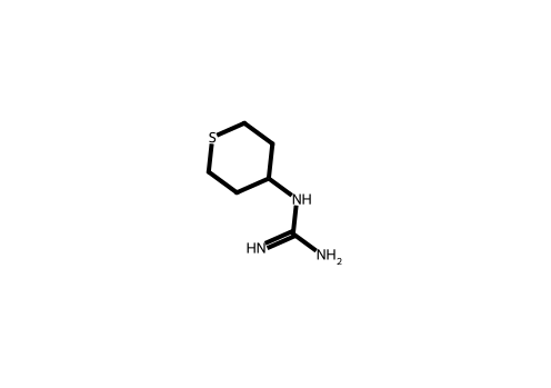 N=C(N)NC1CCSCC1